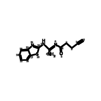 C#CCCC(=O)/N=C(\N)Nc1nc2ccccc2s1